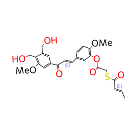 C/C=C/C(=O)SCC(=O)Oc1cc(/C=C/C(=O)c2cc(CO)c(CO)c(OC)c2)ccc1OC